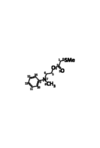 CSCC(=O)OCCN(C)c1ccccc1